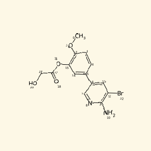 COc1ccc(-c2cnc(N)c(Br)c2)cc1OC(=O)CO